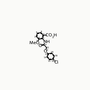 COc1cccc(C(=O)O)c1NC(=O)COc1ccc(Cl)cc1